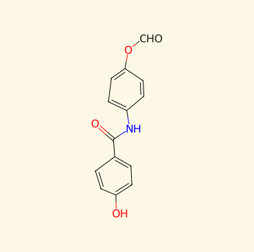 O=COc1ccc(NC(=O)c2ccc(O)cc2)cc1